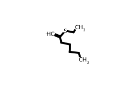 [CH]=C(CCCCC)SCC